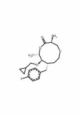 C[C@@H]1OC(=O)[C@@H](N)COCC[C@H](Cc2ccc(F)cc2)[C@H]1OCC1CC1